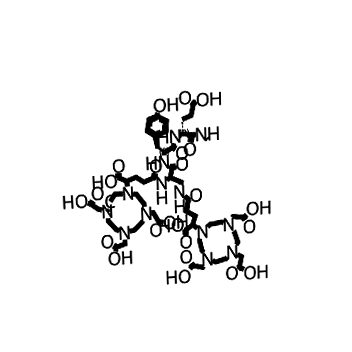 CNC(=O)[C@@H](CCC(=O)O)NC(=O)[C@H](Cc1ccc(O)cc1)NC(=O)C(CNC(=O)CCC(C(=O)O)N1CCN(CC(=O)O)CCN(CC(=O)O)CCN(CC(=O)O)CC1)NC(=O)CCC(C(=O)O)N1CCN(CC(=O)O)CCN(CC(=O)O)CCN(CC(=O)O)CC1